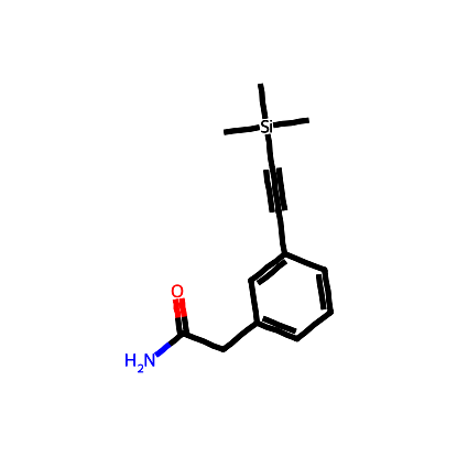 C[Si](C)(C)C#Cc1cccc(CC(N)=O)c1